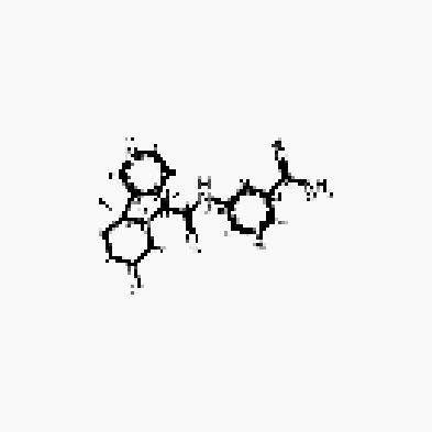 C[C@H]1CC[C@@](C)(c2cccnc2)N(C(=O)C(=O)Nc2cncc(C(N)=O)c2)C1